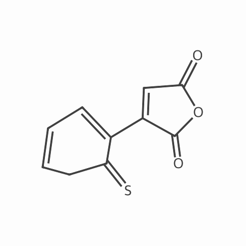 O=C1C=C(C2=CC=CCC2=S)C(=O)O1